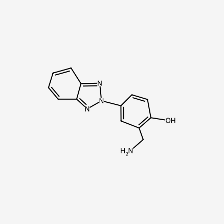 NCc1cc(-n2nc3ccccc3n2)ccc1O